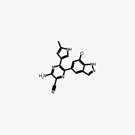 Cc1cc(-c2nc(N)c(C#N)nc2-c2cc(Cl)c3[nH]ncc3c2)c[nH]1